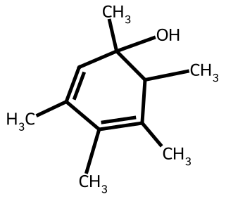 CC1=CC(C)(O)C(C)C(C)=C1C